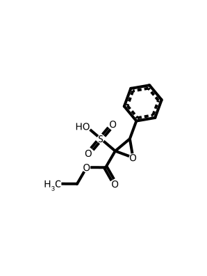 CCOC(=O)C1(S(=O)(=O)O)OC1c1ccccc1